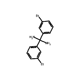 CCc1cccc(C(N)(N)c2cccc(CC)c2)c1